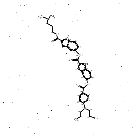 CN(C)CCC[N]C(=O)c1cc2cc(NC(=O)c3cc4cc(NC(=O)c5ccc(N(CCCl)CCCl)cc5)ccc4[nH]3)ccc2o1